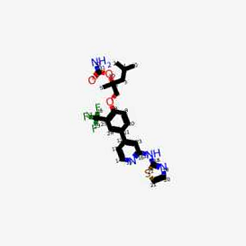 CC(C)CC(C)(COc1ccc(-c2ccnc(Nc3nccs3)c2)cc1C(F)(F)F)OC(N)=O